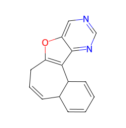 C1=CC2C=CCc3oc4cncnc4c3C2C=C1